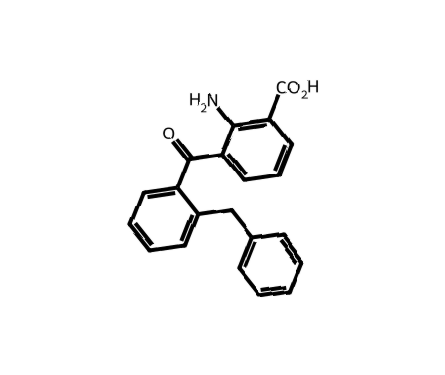 Nc1c(C(=O)O)cccc1C(=O)c1ccccc1Cc1ccccc1